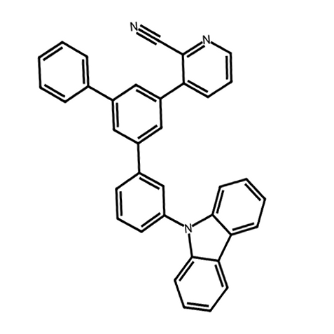 N#Cc1ncccc1-c1cc(-c2ccccc2)cc(-c2cccc(-n3c4ccccc4c4ccccc43)c2)c1